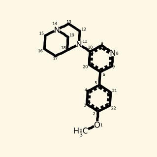 COc1ccc(-c2cncc(N3CCN4CCCC3C4)c2)cc1